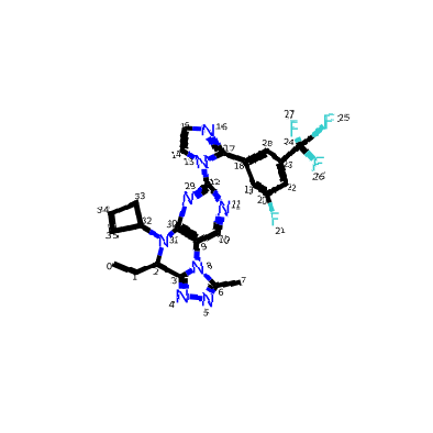 CCC1c2nnc(C)n2-c2cnc(-n3ccnc3-c3cc(F)cc(C(F)(F)F)c3)nc2N1C1CCC1